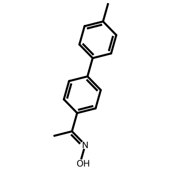 CC(=NO)c1ccc(-c2ccc(C)cc2)cc1